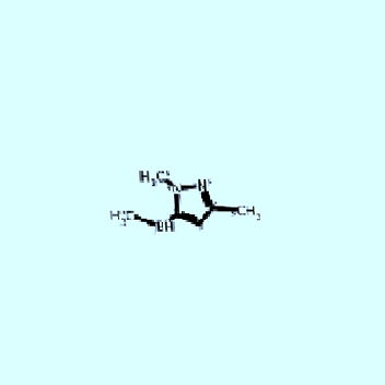 CBc1cc(C)nn1C